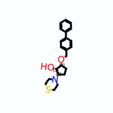 O[C@H]1[C@H](N2CCSCC2)CC[C@H]1OCc1ccc(-c2ccccc2)cc1